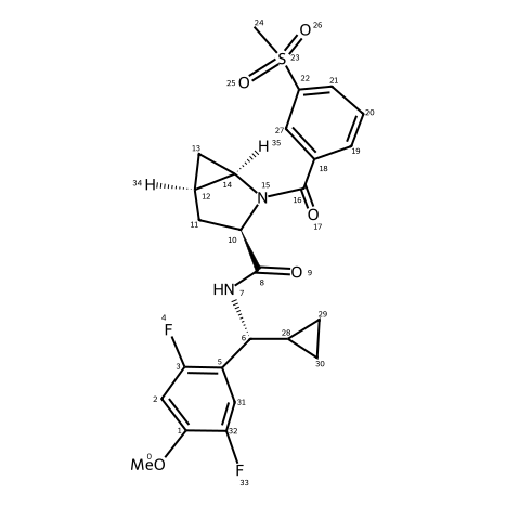 COc1cc(F)c([C@H](NC(=O)[C@H]2C[C@H]3C[C@H]3N2C(=O)c2cccc(S(C)(=O)=O)c2)C2CC2)cc1F